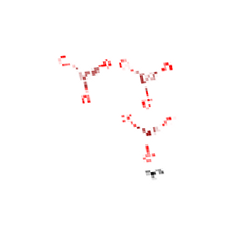 [Fe+3].[O-][Br+2]([O-])[O-].[O-][Br+2]([O-])[O-].[O-][Br+2]([O-])[O-]